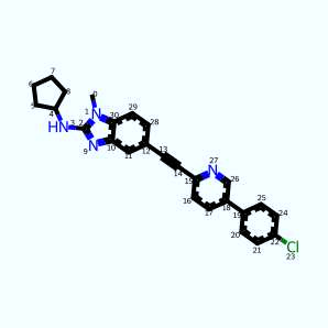 Cn1c(NC2CCCC2)nc2cc(C#Cc3ccc(-c4ccc(Cl)cc4)cn3)ccc21